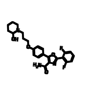 NC(=O)c1nc(-c2c(F)cccc2F)oc1-c1ccc(OCCCN2CCCCC2O)cc1